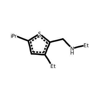 CCNCc1sc(C(C)C)cc1CC